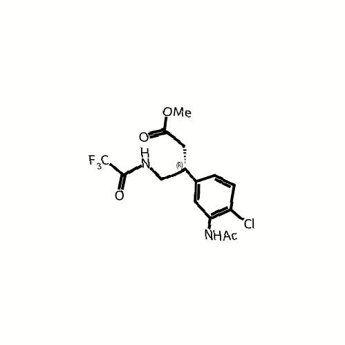 COC(=O)C[C@@H](CNC(=O)C(F)(F)F)c1ccc(Cl)c(NC(C)=O)c1